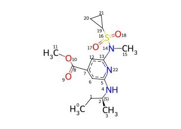 CC[C@H](C)Nc1cc(C(=O)OC)cc(N(C)S(=O)(=O)C2CC2)n1